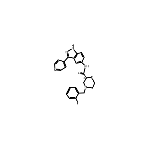 O=C(Nc1ccc2[nH]nc(-c3ccncc3)c2c1)[C@@H]1CN(Cc2ccccc2F)CCS1